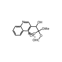 COC(OC)(OC=O)C(O)c1cnc2ccccc2c1C